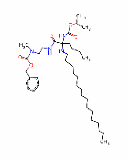 CCCCCCCCCCCCCCCCNC(CCCC)(NC(=O)OC(C)C)C(=O)NCCN(C)C(=O)OCc1ccccc1